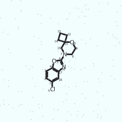 Clc1ccc2oc(N3CCOC4(CCC4)C3)nc2c1